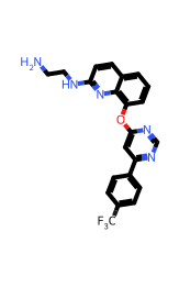 NCCNc1ccc2cccc(Oc3cc(-c4ccc(C(F)(F)F)cc4)ncn3)c2n1